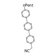 CCCCCc1ccc(-c2ccc(-c3ccc(CC#N)cc3)cc2)cc1